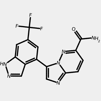 NC(=O)c1ccc2ncc(-c3cc(C(F)(F)F)cc4[nH]ncc34)n2n1